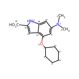 CN(C)c1cc(OC2CCCCC2)c2cc(C(=O)O)[nH]c2c1